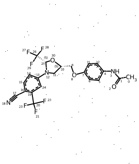 CC(=O)Nc1ccc(OC[C@@H]2CN(c3ccc(C#N)c(C(F)(F)F)c3)[C@H](C(F)(F)F)O2)cc1